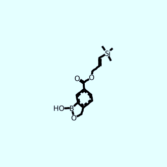 C[Si](C)(C)/C=C/COC(=O)c1ccc2c(c1)B(O)OC2